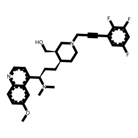 COc1ccc2nccc([C@@H](CC[C@@H]3CCN(CC#Cc4cc(F)cc(F)c4F)C[C@@H]3CO)N(C)C)c2c1